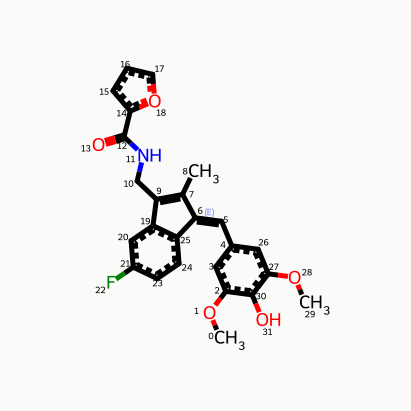 COc1cc(/C=C2/C(C)=C(CNC(=O)c3ccco3)c3cc(F)ccc32)cc(OC)c1O